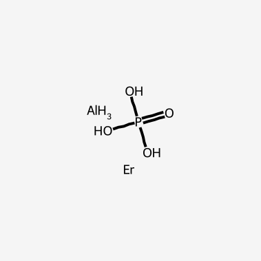 O=P(O)(O)O.[AlH3].[Er]